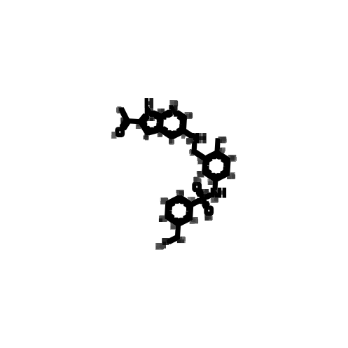 CC(=O)c1cc2cc(NCc3cc(NS(=O)(=O)c4cccc(CF)c4)ccc3C)cnc2[nH]1